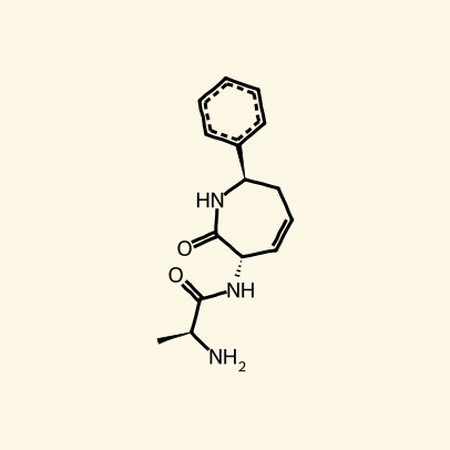 C[C@H](N)C(=O)N[C@H]1C=CC[C@H](c2ccccc2)NC1=O